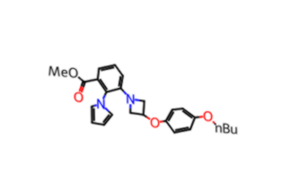 CCCCOc1ccc(OC2CN(c3cccc(C(=O)OC)c3-n3cccc3)C2)cc1